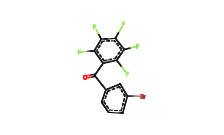 O=C(c1cccc(Br)c1)c1c(F)c(F)c(F)c(F)c1F